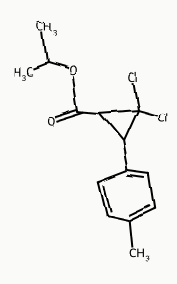 Cc1ccc(C2C(C(=O)OC(C)C)C2(Cl)Cl)cc1